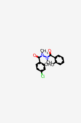 CN(C(=O)c1ccc(Cl)cc1)N(C)C(=O)c1ccccc1C=O